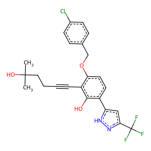 CC(C)(O)CCC#Cc1c(OCc2ccc(Cl)cc2)ccc(-c2cc(C(F)(F)F)n[nH]2)c1O